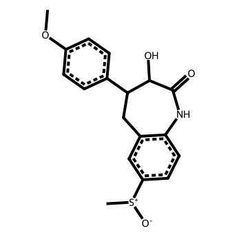 COc1ccc(C2Cc3cc([S+](C)[O-])ccc3NC(=O)C2O)cc1